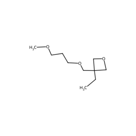 CCC1(COCCCOC)COC1